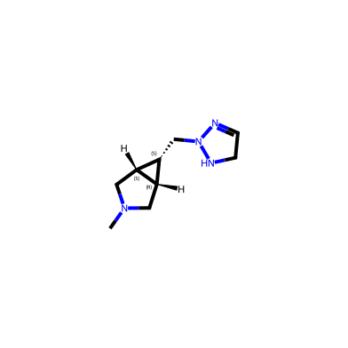 CN1C[C@@H]2[C@H](C1)[C@@H]2CN1N=CCN1